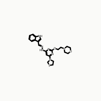 C(=NNc1cc(N2CCSC2)nc(OCCN2CCOCC2)n1)c1c[nH]c2ccccc12